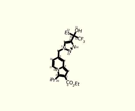 CCOC(=O)c1cc2cc(Cn3cc(C(O)(CC)C(F)(F)F)nn3)ccn2c1C(C)C